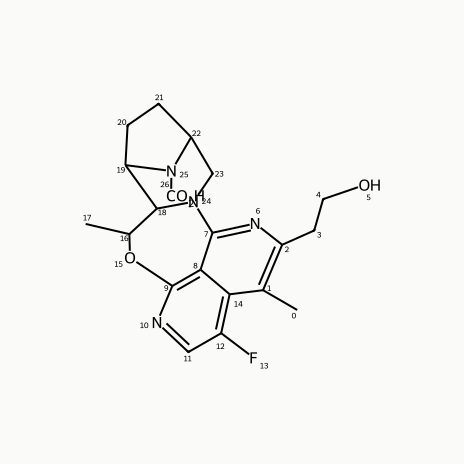 Cc1c(CCO)nc2c3c(ncc(F)c13)OC(C)C1C3CCC(CN21)N3C(=O)O